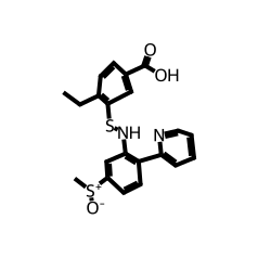 CCc1ccc(C(=O)O)cc1SNc1cc([S+](C)[O-])ccc1-c1ccccn1